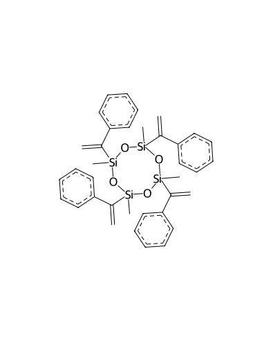 C=C(c1ccccc1)[Si]1(C)O[Si](C)(C(=C)c2ccccc2)O[Si](C)(C(=C)c2ccccc2)O[Si](C)(C(=C)c2ccccc2)O1